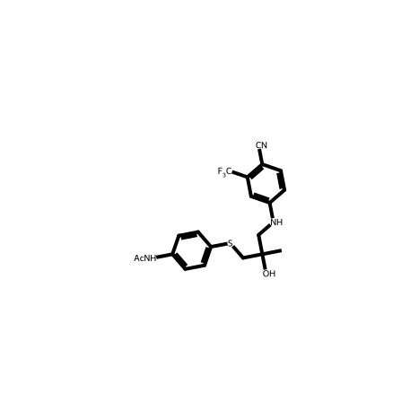 CC(=O)Nc1ccc(SCC(C)(O)CNc2ccc(C#N)c(C(F)(F)F)c2)cc1